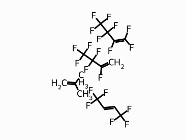 C=C(C)C.C=C(F)C(F)(F)C(F)(F)F.FC(F)(F)C=CC(F)(F)F.FC(F)=C(F)C(F)(F)C(F)(F)F